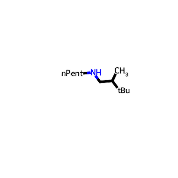 CCCCCNCC(C)C(C)(C)C